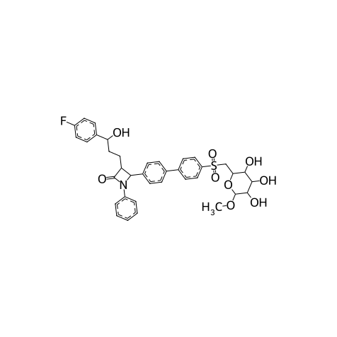 COC1OC(CS(=O)(=O)c2ccc(-c3ccc(C4C(CCC(O)c5ccc(F)cc5)C(=O)N4c4ccccc4)cc3)cc2)C(O)C(O)C1O